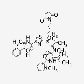 CC[C@H](C)[C@H](NC(=O)[C@H]1CCCCN1C)C(=O)N(C)[C@H](C[C@@H](OCCCCN1C(=O)C=CC1=O)c1nc(C(=O)N[C@H](C)C(O)c2ccccc2)cs1)C(C)C